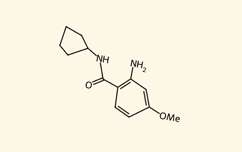 COc1ccc(C(=O)NC2CCCC2)c(N)c1